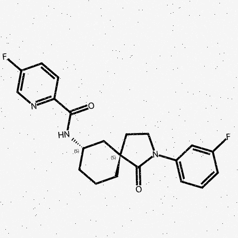 O=C(N[C@H]1CCC[C@]2(CCN(c3cccc(F)c3)C2=O)C1)c1ccc(F)cn1